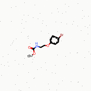 CC(C)(C)OC(=O)NCCOc1ccc(Br)cc1